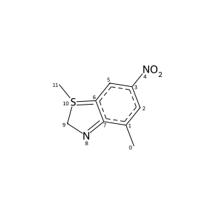 Cc1cc([N+](=O)[O-])cc2c1=NCS=2C